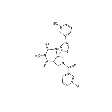 CN1C(=N)N[C@@]2(c3cc(-c4cccc(C#N)c4)cs3)CN(C(=O)c3cccc(F)c3)CC2C1=O